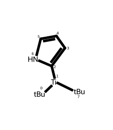 C[C](C)(C)[Ti]([c]1ccc[nH]1)[C](C)(C)C